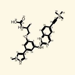 CC(COc1cc(Nc2ncc3cc(C#C[Si](C)(C)C)ccc3n2)cc(-c2cnn(C)c2)c1)NC(=O)O